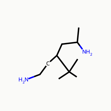 CC(N)CC(CCN)C(C)(C)C